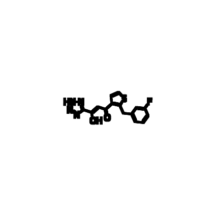 O=C(C=C(O)c1nn[nH]n1)c1ccsc1Cc1cccc(F)c1